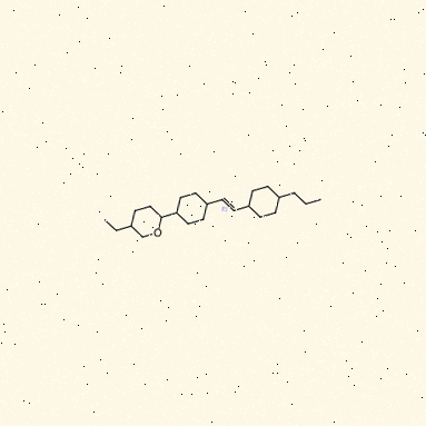 CCCC1CCC(/C=C/C2CCC(C3CCC(CC)CO3)CC2)CC1